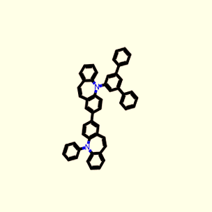 C1=Cc2cc(-c3ccc4c(c3)C=Cc3ccccc3N4c3cc(-c4ccccc4)cc(-c4ccccc4)c3)ccc2N(c2ccccc2)c2ccccc21